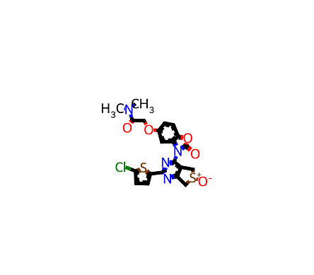 CN(C)C(=O)COc1ccc2oc(=O)n(-c3nc(-c4ccc(Cl)s4)nc4c3C[S+]([O-])C4)c2c1